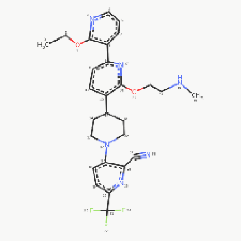 CCOc1ncccc1-c1ccc(C2CCN(c3ccc(C(F)(F)F)nc3C#N)CC2)c(OCCNC)n1